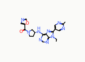 CCn1c(-c2cnc(C)nc2)nc2c(N[C@H]3CCN(C(=O)c4cnco4)C3)ncnc21